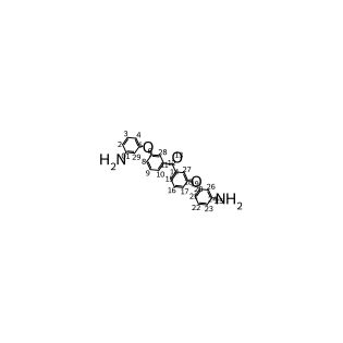 Nc1cccc(Oc2cccc(C(=O)c3cccc(Oc4cccc(N)c4)c3)c2)c1